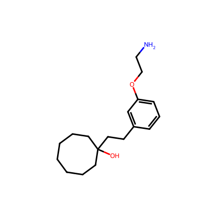 NCCOc1cccc(CCC2(O)CCCCCCC2)c1